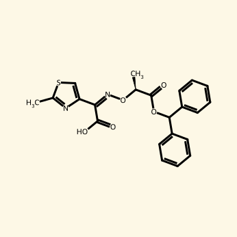 Cc1nc(/C(=N/O[C@@H](C)C(=O)OC(c2ccccc2)c2ccccc2)C(=O)O)cs1